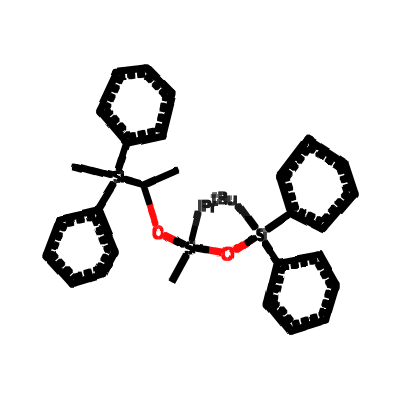 CC(C)[Si](C)(OC(C)[Si](C)(c1ccccc1)c1ccccc1)O[Si](c1ccccc1)(c1ccccc1)C(C)(C)C